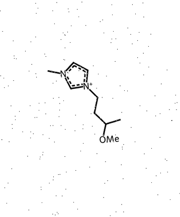 COC(C)CC[n+]1ccn(C)c1